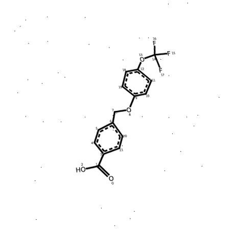 O=C(O)c1ccc(COc2ccc(OC(F)(F)F)cc2)cc1